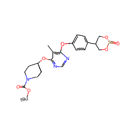 Cc1c(Oc2ccc(C3COS(=O)OC3)cc2)ncnc1OC1CCN(C(=O)OC(C)(C)C)CC1